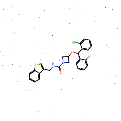 O=C(NCc1csc2ccccc12)N1CC(OC(c2ccccc2Cl)c2ccccc2Cl)C1